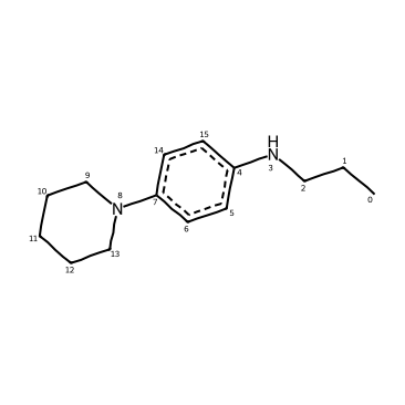 CCCNc1ccc(N2CCCCC2)cc1